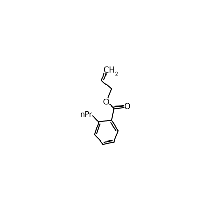 C=CCOC(=O)c1ccccc1CCC